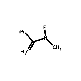 C=C(C(C)C)N(C)F